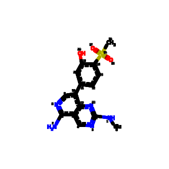 CC(C)(C)Nc1ncc2c(N)ncc(-c3ccc(S(C)(=O)=O)c(O)c3)c2n1